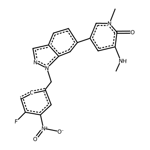 CNc1cc(-c2ccc3cnn(Cc4ccc(F)c([N+](=O)[O-])c4)c3c2)cn(C)c1=O